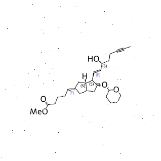 CC#CCC[C@H](O)/C=C/[C@H]1[C@H](OC2CCCCO2)CC2C/C(=C\CCCC(=O)OC)C[C@@H]21